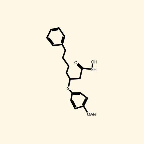 COc1ccc(SC(CCCCc2ccccc2)CC(=O)NO)cc1